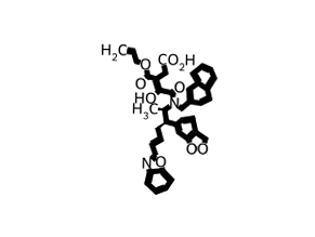 C=CCOC(=O)/C(CC(=O)O)=C(\O)C(=O)N(Cc1ccc2ccccc2c1)[C@H](C)[C@H](C/C=C/c1nc2ccccc2o1)c1ccc2c(c1)OOC2